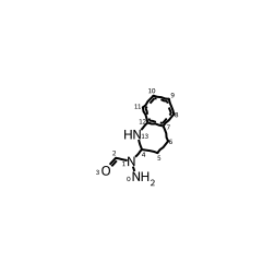 NN(C=O)C1CCc2ccccc2N1